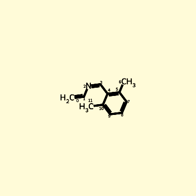 C=C/N=C\c1c(C)cccc1C